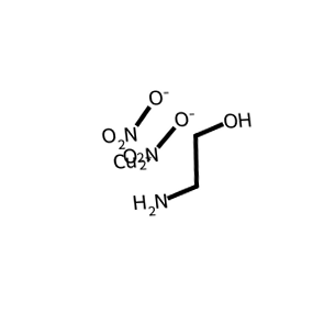 NCCO.O=[N+]([O-])[O-].O=[N+]([O-])[O-].[Cu+2]